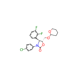 O=C1O[C@@H](COC2CCCCO2)[C@H](c2cccc(F)c2F)N1c1ccc(Cl)cc1